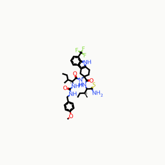 CCC(C)[C@H](NC(=O)NCc1ccc(OC)cc1)C(=O)N[C@]1(C(=O)NC(C(N)=S)[C@@H](C)CC)CCc2[nH]c3c(C(F)(F)F)cccc3c2C1